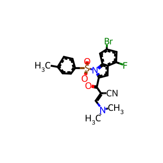 Cc1ccc(S(=O)(=O)n2c(C(=O)/C(C#N)=C/N(C)C)cc3c(F)cc(Br)cc32)cc1